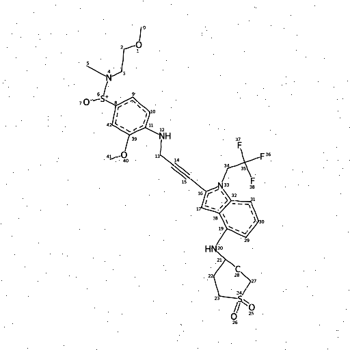 COCCN(C)[S+]([O-])c1ccc(NCC#Cc2cc3c(NC4CCS(=O)(=O)CC4)cccc3n2CC(F)(F)F)c(OC)c1